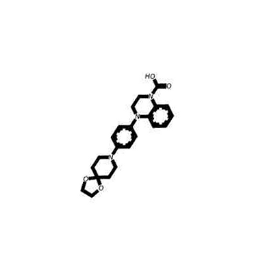 O=C(O)N1CCN(c2ccc(N3CCC4(CC3)OCCO4)cc2)c2ccccc21